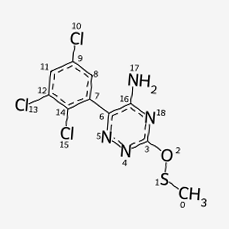 CSOc1nnc(-c2cc(Cl)cc(Cl)c2Cl)c(N)n1